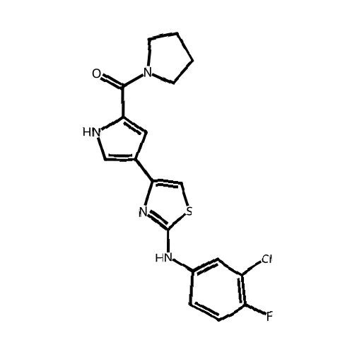 O=C(c1cc(-c2csc(Nc3ccc(F)c(Cl)c3)n2)c[nH]1)N1CCCC1